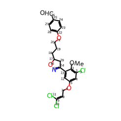 COc1c(Cl)cc(OCC=C(Cl)Cl)cc1C1=NOC(CCCOc2ccc(C=O)cc2)C1